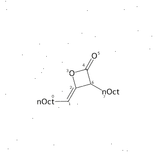 CCCCCCCCC=C1OC(=O)C1CCCCCCCC